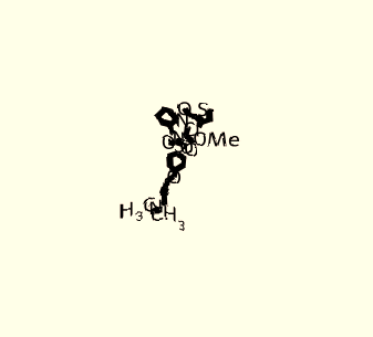 COC(=O)C1CN(C(=O)c2sccc2Cl)c2ccccc2CN1S(=O)(=O)c1ccc(OCC#CCN(C)C)cc1